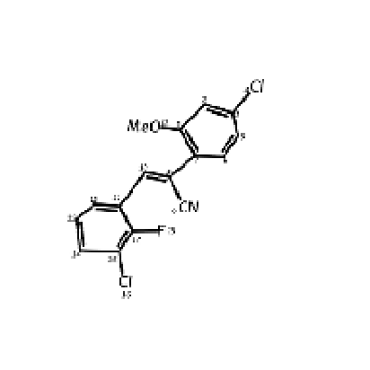 COc1cc(Cl)ccc1C(C#N)=Cc1cccc(Cl)c1F